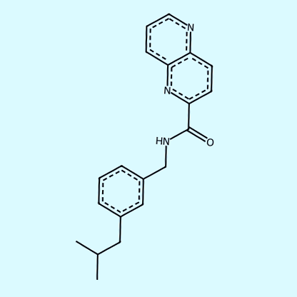 CC(C)Cc1cccc(CNC(=O)c2ccc3ncccc3n2)c1